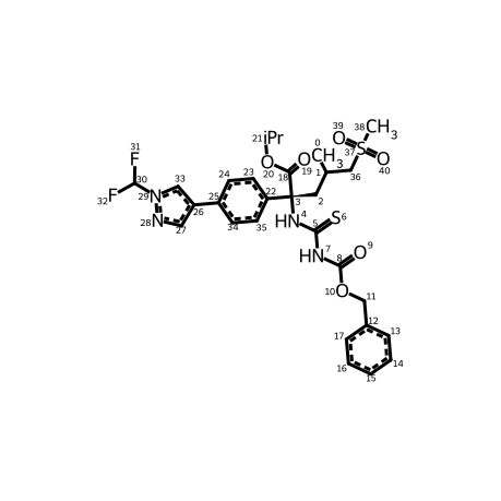 CC(C[C@](NC(=S)NC(=O)OCc1ccccc1)(C(=O)OC(C)C)c1ccc(-c2cnn(C(F)F)c2)cc1)CS(C)(=O)=O